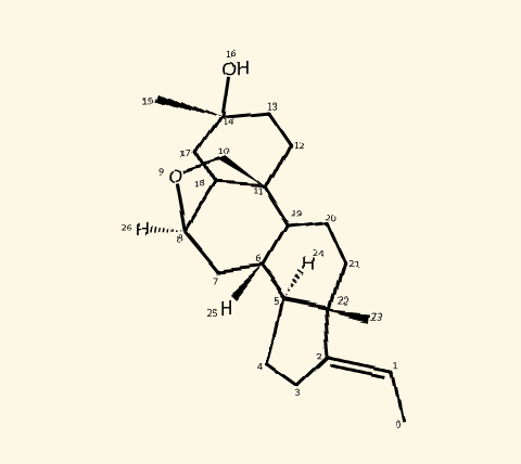 CC=C1CC[C@H]2[C@@H]3C[C@H]4OC[C@@]5(CC[C@@](C)(O)CC45)C3CC[C@]12C